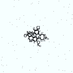 CCOc1cc2ncc(C(N)=O)c(Nc3cccc(Cl)c3C)c2cc1N1CCCN(C)CC1